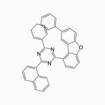 C1=CC(c2nc(-c3cccc4ccccc34)nc(-c3cccc4oc5ccc(-c6ccccc6)cc5c34)n2)=CCC1